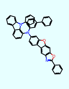 c1ccc(-c2cccc(N(c3ccc4c(c3)oc3cc5oc(-c6ccccc6)nc5cc34)c3cccc4c5ccccc5n(-c5ccccc5)c34)c2)cc1